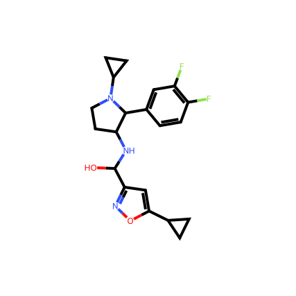 OC(NC1CCN(C2CC2)C1c1ccc(F)c(F)c1)c1cc(C2CC2)on1